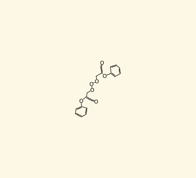 O=C=C(COOOCC(=C=O)Oc1ccccc1)Oc1ccccc1